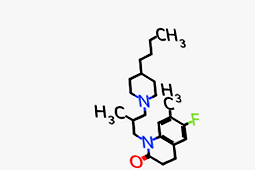 CCCCC1CCN(CC(C)CN2C(=O)CCc3cc(F)c(C)cc32)CC1